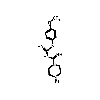 CCN1CCN(C(=N)NC(=N)Nc2ccc(OC(F)(F)F)cc2)CC1